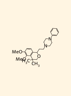 COc1ccc2c(c1OC)C(C)(C)COC2CCN1CCN(c2ccccc2)CC1